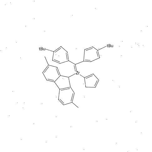 Cc1ccc2c(c1)[CH]([Zr]([C]1=CC=CC1)=[C](c1ccc(C(C)(C)C)cc1)c1ccc(C(C)(C)C)cc1)c1cc(C)ccc1-2